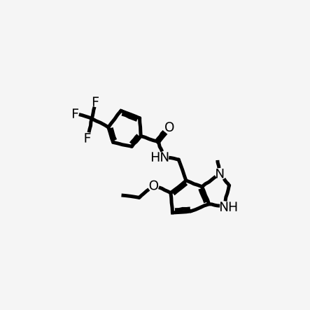 CCOc1ccc2c(c1CNC(=O)c1ccc(C(F)(F)F)cc1)N(C)CN2